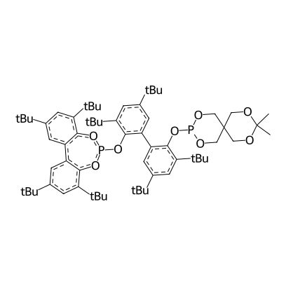 CC1(C)OCC2(COP(Oc3c(-c4cc(C(C)(C)C)cc(C(C)(C)C)c4Op4oc5c(C(C)(C)C)cc(C(C)(C)C)cc5c5cc(C(C)(C)C)cc(C(C)(C)C)c5o4)cc(C(C)(C)C)cc3C(C)(C)C)OC2)CO1